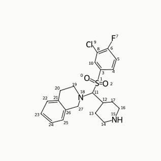 O=S(=O)(c1ccc(F)c(Cl)c1)C(C1CCNCC1)N1CCc2ccccc2C1